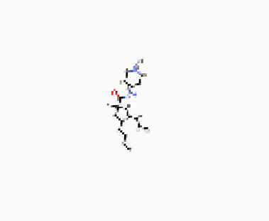 CCCCCCC(C)(CCCCC)C(=O)NC1CCN(C)CC1